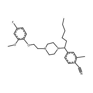 CCCCCC(c1ccc(C#N)c(C)c1)N1CCN(CCOc2ccc(F)cc2OC)CC1